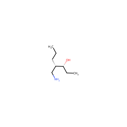 CCC[C@@H](CN)[C@H](O)CC